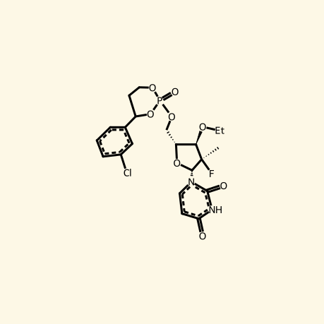 CCO[C@@H]1[C@@H](COP2(=O)OCCC(c3cccc(Cl)c3)O2)O[C@@H](n2ccc(=O)[nH]c2=O)[C@]1(C)F